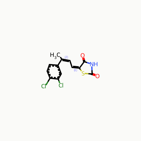 C/C(=C/C=C1/SC(=O)NC1=O)c1ccc(Cl)c(Cl)c1